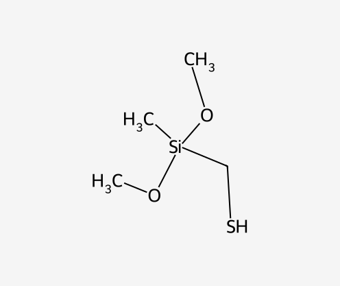 CO[Si](C)(CS)OC